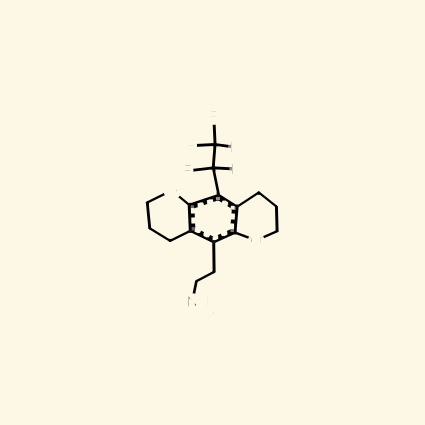 NCCc1c2c(c(C(F)(F)C(F)(F)F)c3c1OCCC3)OCCC2